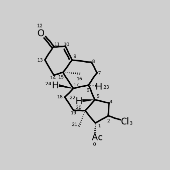 CC(=O)[C@H]1C(Cl)C[C@H]2[C@@H]3CCC4=CC(=O)CC[C@]4(C)[C@H]3CC[C@]12C